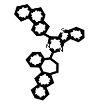 c1ccc2c(c1)-c1cc3ccccc3cc1CCC2c1nc(-c2ccc3c(ccc4ccccc43)c2)c2sc3ccccc3c2n1